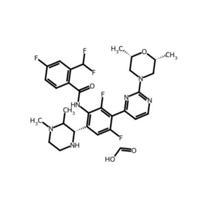 CC1[C@H](c2cc(F)c(-c3ccnc(N4C[C@@H](C)O[C@@H](C)C4)n3)c(F)c2NC(=O)c2ccc(F)cc2C(F)F)NCCN1C.O=CO